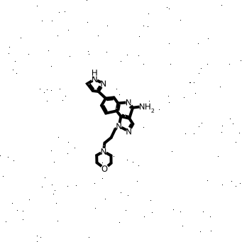 Nc1nc2cc(-c3cc[nH]n3)ccc2c2c1cnn2CCCN1CCOCC1